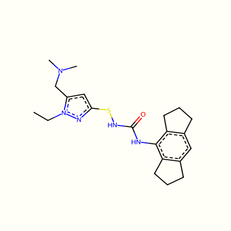 CCn1nc(SNC(=O)Nc2c3c(cc4c2CCC4)CCC3)cc1CN(C)C